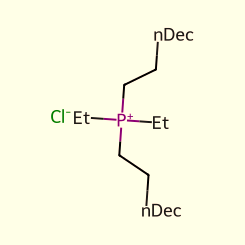 CCCCCCCCCCCC[P+](CC)(CC)CCCCCCCCCCCC.[Cl-]